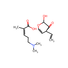 C=CC1C=COC(O)C1=O.CC(=CCCN(C)C)C(=O)O